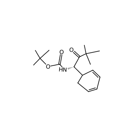 CC(C)(C)OC(=O)N[C@H](C(=O)C(C)(C)C)C1C=CC=CC1